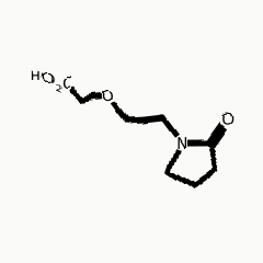 O=C(O)COCCN1CCCC1=O